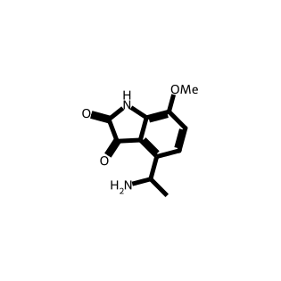 COc1ccc(C(C)N)c2c1NC(=O)C2=O